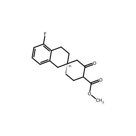 COC(=O)C1CC[C@]2(CCc3c(F)cccc3C2)CC1=O